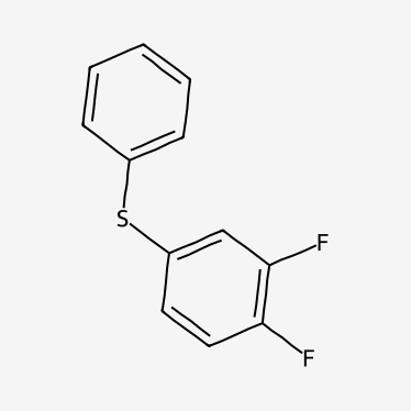 Fc1ccc(Sc2ccccc2)cc1F